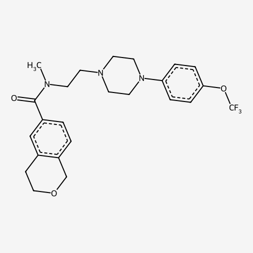 CN(CCN1CCN(c2ccc(OC(F)(F)F)cc2)CC1)C(=O)c1ccc2c(c1)CCOC2